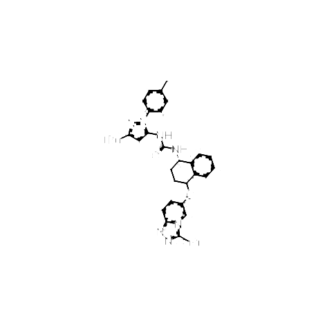 Cc1ccc(-n2nc(C(C)(C)C)cc2NC(=O)N[C@@H]2CCC(Oc3ccc4nnc(C(C)C)n4c3)c3ccccc32)cc1